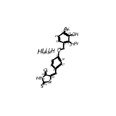 CCCc1c(COc2ccc(C=C3SC(=S)NC3=O)cc2)ccc(C(C)=O)c1O.[LiH].[LiH]